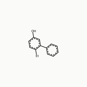 CCc1ccc(O)cc1-c1ccccc1